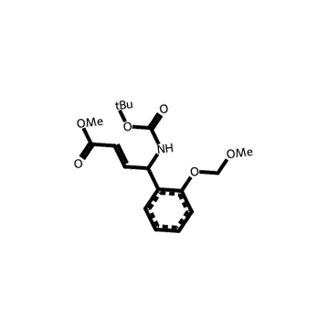 COCOc1ccccc1C(C=CC(=O)OC)NC(=O)OC(C)(C)C